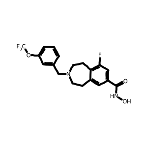 O=C(NO)c1cc(F)c2c(c1)CCN(Cc1cccc(OC(F)(F)F)c1)CC2